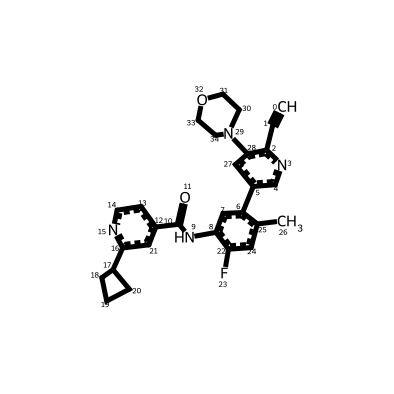 C#Cc1ncc(-c2cc(NC(=O)c3ccnc(C4CCC4)c3)c(F)cc2C)cc1N1CCOCC1